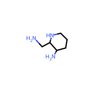 NCC1NCCCC1N